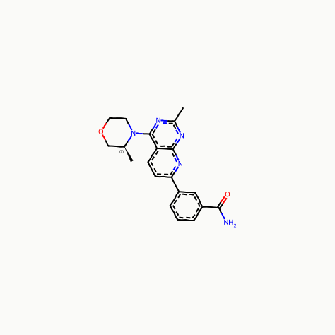 Cc1nc(N2CCOC[C@@H]2C)c2ccc(-c3cccc(C(N)=O)c3)nc2n1